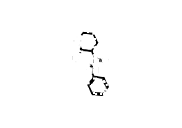 O=C1OCCCC1[PH](=O)Oc1ccccc1